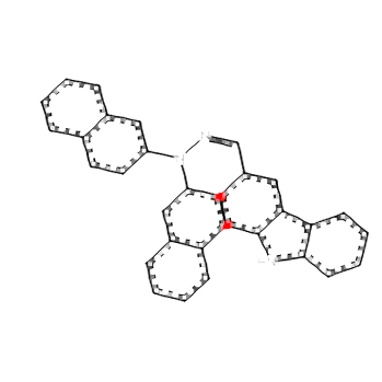 C(=N/N(c1ccc2ccccc2c1)c1ccc2ccccc2c1)/c1ccc2[nH]c3ccccc3c2c1